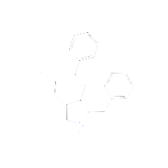 OCCC1CNC(Cc2ccccc2)C1CCc1ccccc1